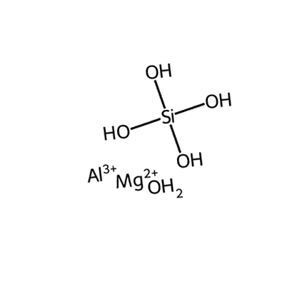 O.O[Si](O)(O)O.[Al+3].[Mg+2]